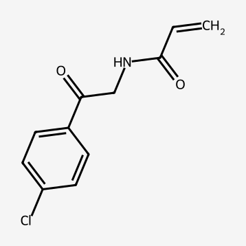 C=CC(=O)NCC(=O)c1ccc(Cl)cc1